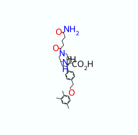 Cc1cc(C)c(C)c(OCCc2ccc(C3=C(C(=O)O)[C@H]4CN(C(=O)CCCC(N)=O)CC(C3)N4)cc2)c1